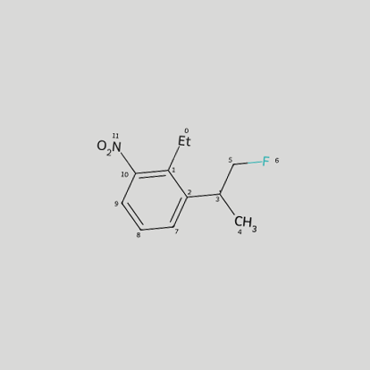 CCc1c([C](C)CF)cccc1[N+](=O)[O-]